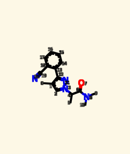 Cc1cn(C(C)C(=O)N(C)C)nc1-c1ccccc1C#N